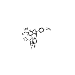 Cc1ccc(-c2nc3nc(C(=O)O)nc(NC(C)C4CCC4)c3n2Cc2ccc(C(F)(F)F)cc2)cc1